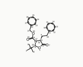 CC(C)(C)[C@@H]1OC(=O)[C@H](CCc2ccccc2)N1C(=O)OCc1ccccc1